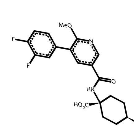 CC[C@H]1CC[C@@](NC(=O)c2cnc(OC)c(-c3ccc(F)c(F)c3)c2)(C(=O)O)CC1